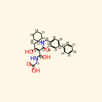 O=C(O)CN[C@H](O)C1=C(O)CC2(CCCCC2)N(Cc2ccc(-c3ccccc3)cc2)C1=O